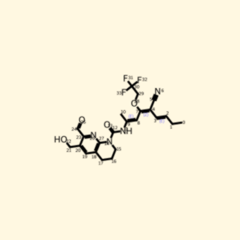 CC/C=C/C(C#N)=C(\C=C(/C)NC(=O)N1CCCc2cc(CO)c(C=O)nc21)OCC(F)(F)F